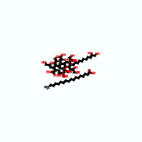 CCCCCCCCCCCCCCCCCC(=O)O.O=C(O)C(CC(O)CO)C(CC(O)CO)C(CC(O)CO)C(CC(O)CO)C(CC(O)CO)C(CC(O)CO)C(CC(O)CO)C(CC(O)CO)C(CCCCCCCCCC(O)CO)CC(O)CO